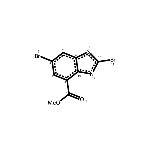 COC(=O)c1cc(Br)cc2sc(Br)nc12